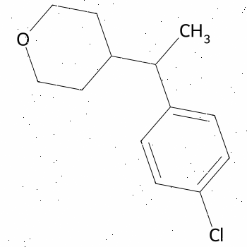 CC(c1ccc(Cl)cc1)C1CCOCC1